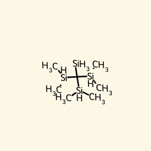 C[SiH](C)C([SiH3])([SiH](C)C)[SiH](C)C